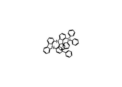 c1ccc(-c2ccc(-n3c4ccccc4c4cccc(-n5c6ccccc6c6c([Si](c7ccccc7)(c7ccccc7)c7ccccc7)cccc65)c43)cc2)cc1